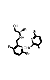 CC(C)[C@H](CO)NCc1nc(Br)ccc1F.O=Cc1nc(Br)ccc1F